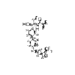 O=C(N[C@H](CF)[C@H](O)c1ccc(-c2ccc(CN3CC4(COC4C(F)(F)F)C3)nc2)cc1)C(F)F